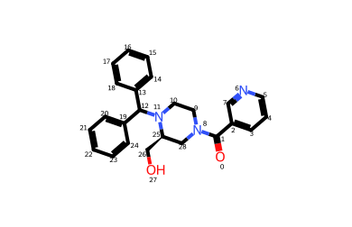 O=C(c1cccnc1)N1CCN(C(c2ccccc2)c2ccccc2)[C@H](CO)C1